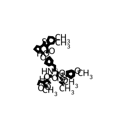 COc1ccc(S(=O)(=O)N(CC[C@H](Cc2ccc(OCC3CCCC3c3sc4c(c3C(=O)O)CC(C)(C)CC4)cc2)NC(=O)O[C@H]2CO[C@@]3(C)OCC[C@@H]23)CC(C)C)cc1